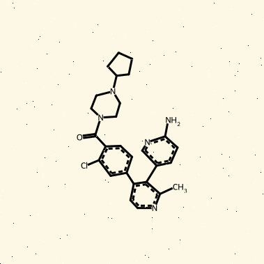 Cc1nccc(-c2ccc(C(=O)N3CCN(C4CCCC4)CC3)c(Cl)c2)c1-c1ccc(N)nc1